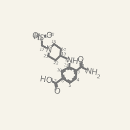 NC(=O)c1ccc(C(=O)O)cc1NC1CCN(C[SH](=O)=O)CC1